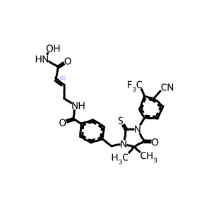 CC1(C)C(=O)N(c2ccc(C#N)c(C(F)(F)F)c2)C(=S)N1Cc1ccc(C(=O)NC/C=C/C(=O)NO)cc1